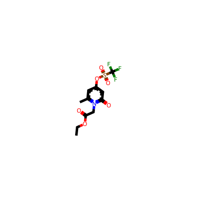 CCOC(=O)Cn1c(C)cc(OS(=O)(=O)C(F)(F)F)cc1=O